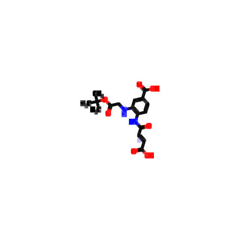 CC(C)(C)OC(=O)CNc1cc(C(=O)O)ccc1NC(=O)/C=C/C(=O)O